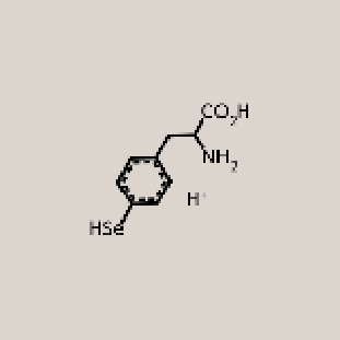 NC(Cc1ccc([SeH])cc1)C(=O)O.[H+]